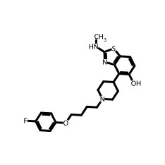 CNc1nc2c(C3CCN(CCCCOc4ccc(F)cc4)CC3)c(O)ccc2s1